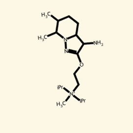 CC1CCC2C(N)C(OCC[N+](C)(C(C)C)C(C)C)=NN2C1C